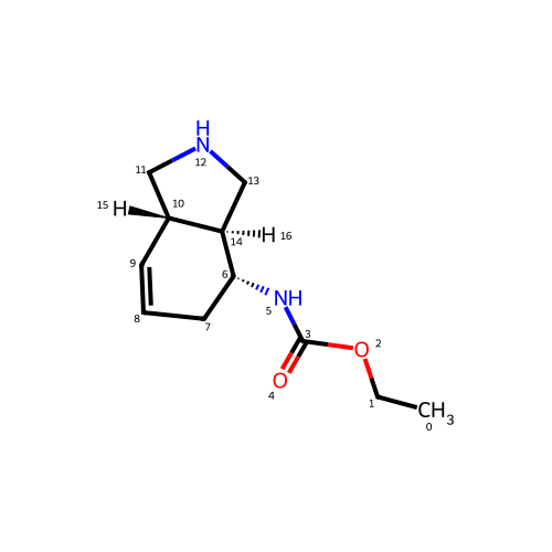 CCOC(=O)N[C@@H]1CC=C[C@@H]2CNC[C@H]21